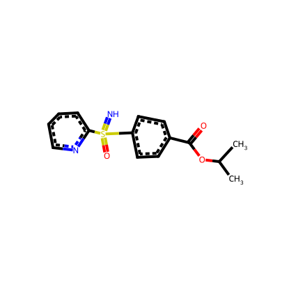 CC(C)OC(=O)c1ccc(S(=N)(=O)c2ccccn2)cc1